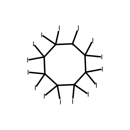 I[C]1C(I)(I)C(I)(I)C(I)(I)C(I)(I)C(I)(I)C(I)(I)C1(I)I